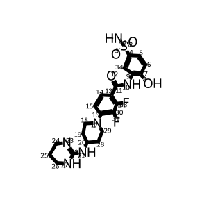 [NH]S(=O)(=O)c1ccc(O)c(NC(=O)c2ccc(N3CCC(NC4=NCCCN4)CC3)c(F)c2F)c1